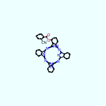 N#Cc1ccccc1C(=O)Oc1cccc2c3nc4nc(nc5[nH]c(nc6nc(nc([nH]3)c12)-c1ccccc1-6)c1ccccc51)-c1ccccc1-4